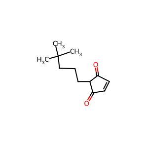 CC(C)(C)CCCC1C(=O)C=CC1=O